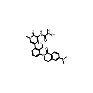 CCNC(=O)Nc1cc(-c2cccc(N3CCc4cc(N(C)C)ccc4C3=O)c2CO)cn(C)c1=O